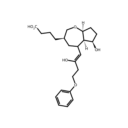 O=C(O)CCC[C@H]1CO[C@H]2CC[C@@H](O)[C@H]2C(C=C(O)CCOc2ccccc2)C1